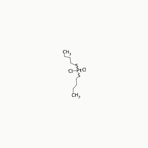 CCCC[S][Pt]([Cl])([Cl])[S]CCCC